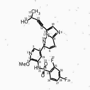 COc1ncc(-c2ccc3ncc(C#CC(C)O)n3n2)cc1NS(=O)(=O)c1ccc(F)cc1F